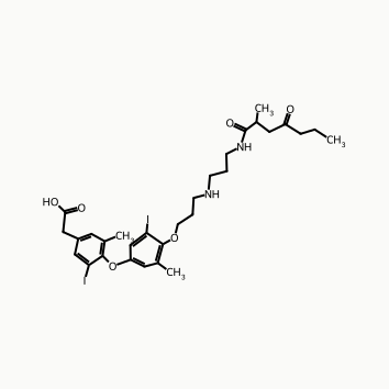 CCCC(=O)CC(C)C(=O)NCCCNCCCOc1c(C)cc(Oc2c(C)cc(CC(=O)O)cc2I)cc1I